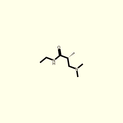 CCNC(=O)[C@H](C)CN(C)C